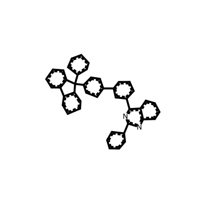 c1ccc(-c2nc(-c3cccc(-c4ccc(C5(c6ccccc6)c6ccccc6-c6ccccc65)cc4)c3)c3ccccc3n2)cc1